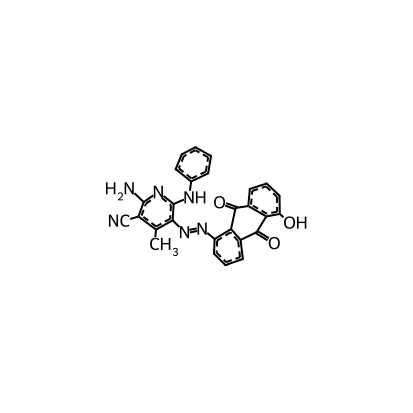 Cc1c(C#N)c(N)nc(Nc2ccccc2)c1/N=N/c1cccc2c1C(=O)c1cccc(O)c1C2=O